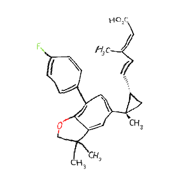 CC(/C=C/[C@@H]1C[C@]1(C)c1cc(-c2ccc(F)cc2)c2c(c1)C(C)(C)CO2)=C\C(=O)O